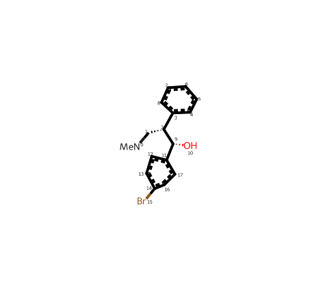 CNC[C@H](c1ccccc1)[C@H](O)c1ccc(Br)cc1